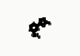 Bc1cccc(-c2nnc(C)o2)c1